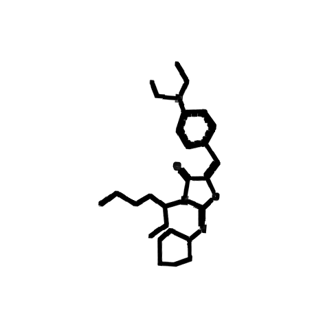 CCCCC(CC)N1C(=O)/C(=C\c2ccc(N(CC)CC)cc2)O/C1=N/C1CCCCC1